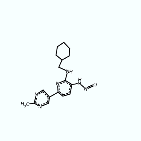 Cc1ncc(-c2ccc(NN=O)c(NCC3CCCCC3)n2)cn1